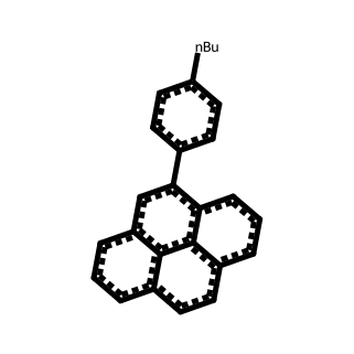 CCCCc1ccc(-c2cc3cccc4ccc5cccc2c5c43)cc1